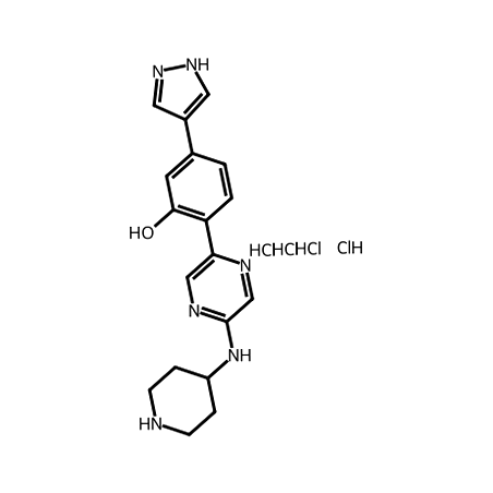 Cl.Cl.Cl.Cl.Oc1cc(-c2cn[nH]c2)ccc1-c1cnc(NC2CCNCC2)cn1